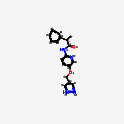 CC(C(=O)Nc1ccc(OCc2cn[nH]c2)cn1)c1ccccc1